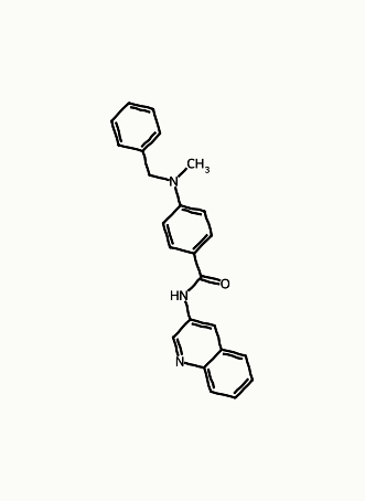 CN(Cc1ccccc1)c1ccc(C(=O)Nc2cnc3ccccc3c2)cc1